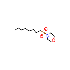 CCCCCCCCS(=O)(=O)N1CCOCC1